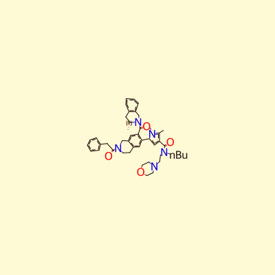 CCCCN(CCN1CCOCC1)C(=O)c1cc(-c2cc3c(cc2C(=O)N2Cc4ccccc4C[C@H]2C)CN(C(=O)Cc2ccccc2)CC3)n(C)c1C